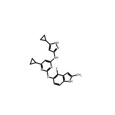 Cc1cc2c(F)c(Oc3nc(Nc4cc(C5CC5)[nH]n4)cc(C4CC4)n3)ccc2[nH]1